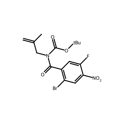 C=C(C)CN(C(=O)OC(C)(C)C)C(=O)c1cc(F)c([N+](=O)[O-])cc1Br